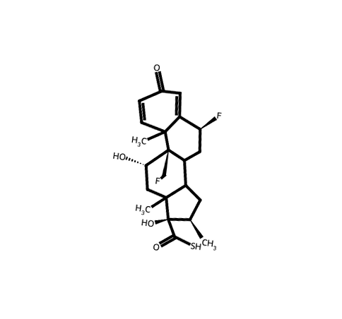 C[C@@H]1CC2C3C[C@H](F)C4=CC(=O)C=CC4(C)[C@@]3(CF)[C@@H](O)CC2(C)[C@@]1(O)C(=O)S